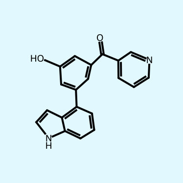 O=C(c1cccnc1)c1cc(O)cc(-c2cccc3[nH]ccc23)c1